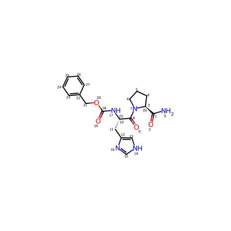 NC(=O)[C@@H]1CCCN1C(=O)[C@H](Cc1c[nH]cn1)NC(=O)OCc1ccccc1